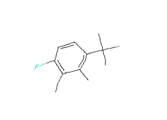 Cc1c(F)ccc(C(C)(C)C)c1C